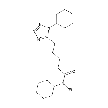 CCN(C(=O)CCSCc1nnnn1C1CCCCC1)C1CCCCC1